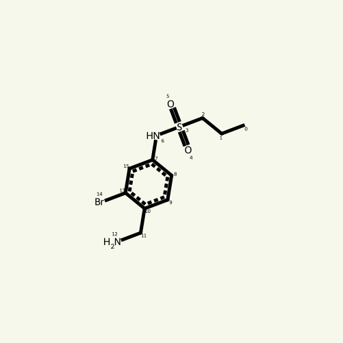 CCCS(=O)(=O)Nc1ccc(CN)c(Br)c1